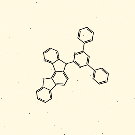 c1ccc(-c2cc(-c3ccccc3)nc(-n3c4cccnc4c4c5sc6ccccc6c5ccc43)n2)cc1